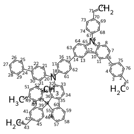 C=Cc1ccc(-c2ccc3c(c2)c2cc(-c4ccc(N(c5ccc(-c6ccccc6)cc5)c5ccc6c(c5)C(c5ccc(C=C)cc5)(c5cc(C)ccc5C)c5ccccc5-6)cc4)ccc2n3-c2ccc(C=C)cc2)cc1